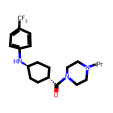 CC(C)N1CCN(C(=O)[C@H]2CC[C@H](Nc3ccc(C(F)(F)F)cc3)CC2)CC1